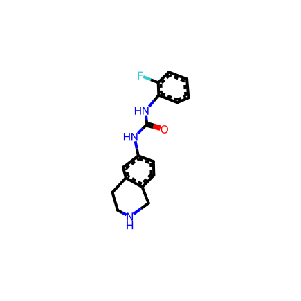 O=C(Nc1ccc2c(c1)CCNC2)Nc1ccccc1F